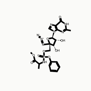 COC(=O)C(C)NP(=S)(OC[C@@]1(N=[N+]=[N-])O[C@@H](n2cnc3c(=O)[nH]c(C)nc32)[C@H](O)[C@@H]1O)Oc1ccccc1